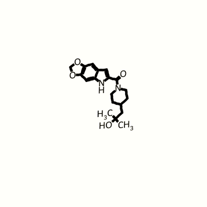 CC(C)(O)CC1CCN(C(=O)c2cc3cc4c(cc3[nH]2)OCO4)CC1